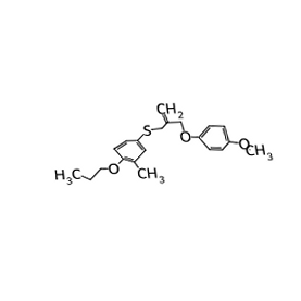 C=C(COc1ccc(OC)cc1)CSc1ccc(OCCC)c(C)c1